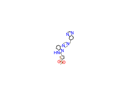 CS(=O)(=O)c1ccc(-c2nc3c(N4CCN(Cc5ccc6nccnc6c5)CC4)cccc3[nH]2)s1